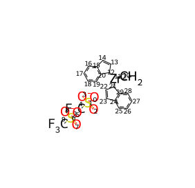 O=S(=O)([O-])C(F)(F)F.O=S(=O)([O-])C(F)(F)F.[CH2]=[Zr+2]([CH]1C=Cc2ccccc21)[CH]1C=Cc2ccccc21